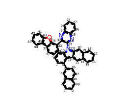 c1ccc2cc(-c3cccc4c3c3cc5ccccc5cc3n4-c3nc4ccccc4nc3-c3cccc4c3oc3ccccc34)ccc2c1